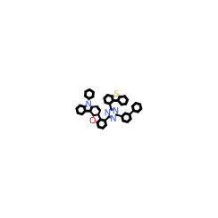 C1=CC2c3c(cccc3-c3nc(-c4cccc(-c5ccccc5)c4)nc(-c4cccc5sc6ccccc6c45)n3)OC2c2c1n(-c1ccccc1)c1ccccc21